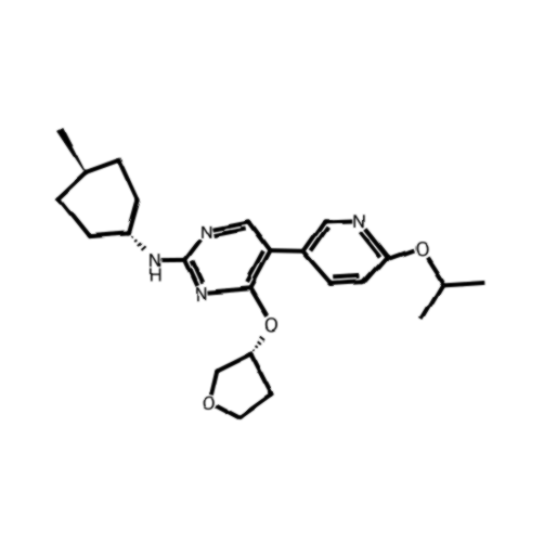 CC(C)Oc1ccc(-c2cnc(N[C@H]3CC[C@H](C)CC3)nc2O[C@@H]2CCOC2)cn1